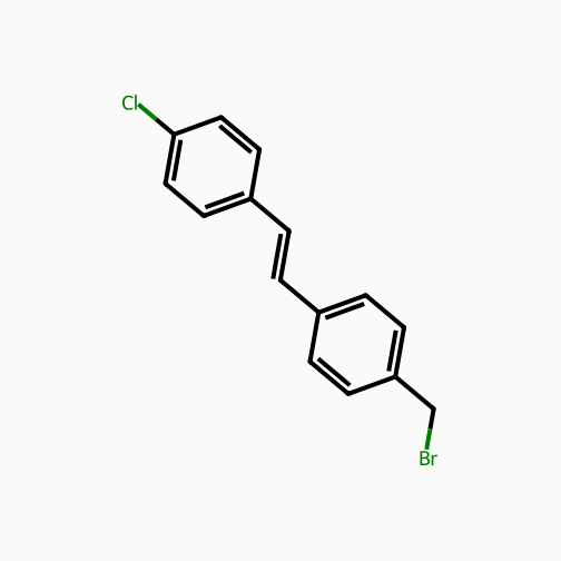 Clc1ccc(C=Cc2ccc(CBr)cc2)cc1